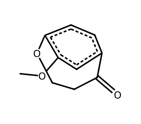 COc1cc2ccc1OCCC2=O